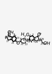 Cc1cc2c(nc1N1CCC(Oc3ccc4c(cnn4C)c3)CC1)CN(CCO)C2=O